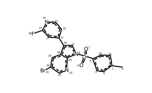 Cc1ccc(S(=O)(=O)n2cc(-c3ccnc(F)c3)c3cc(Br)cnc32)cc1